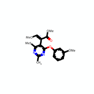 CO/C=C(/C(=O)OC)c1c(Oc2cccc(OC)c2)nc(C)nc1SC